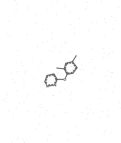 Cc1ccc(Oc2cc[c]nn2)c(C)c1